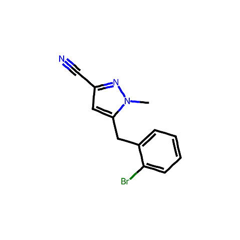 Cn1nc(C#N)cc1Cc1ccccc1Br